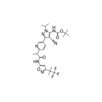 CC(C(=O)Nc1cc(C(C)(C)C(F)(F)F)no1)c1ccc(-c2nn(C(C)C)c(NC(=O)OC(C)(C)C)c2C#N)cn1